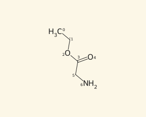 C[CH]OC(=O)CN